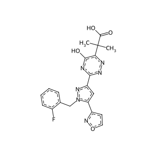 CC(C)(C(=O)O)c1nnc(-c2cc(-c3ccon3)n(Cc3ccccc3F)n2)nc1O